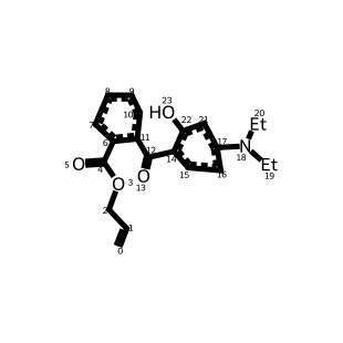 C=CCOC(=O)c1ccccc1C(=O)c1ccc(N(CC)CC)cc1O